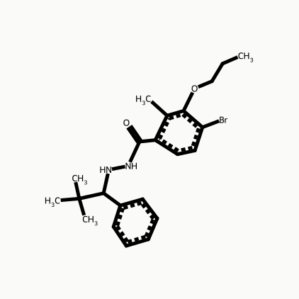 CCCOc1c(Br)ccc(C(=O)NNC(c2ccccc2)C(C)(C)C)c1C